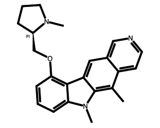 Cc1c2ccncc2cc2c3c(OC[C@H]4CCCN4C)cccc3n(C)c12